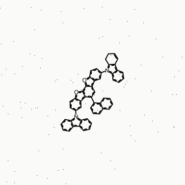 C1=Cc2c(n(-c3ccc4oc5c(cc(-c6cccc7ccccc67)c6c7cc(-n8c9ccccc9c9ccccc98)ccc7oc56)c4c3)c3ccccc23)CC1